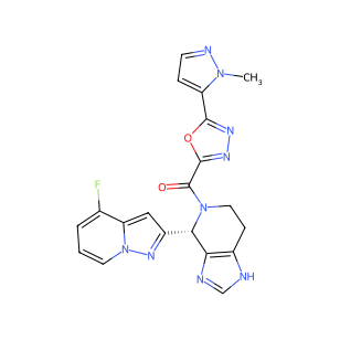 Cn1nccc1-c1nnc(C(=O)N2CCc3[nH]cnc3[C@@H]2c2cc3c(F)cccn3n2)o1